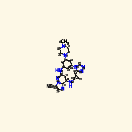 CN1CCN(c2cc(Nc3cc(NC4CC4)c4ncc(C#N)n4n3)cc(-n3cnnc3)c2)CC1